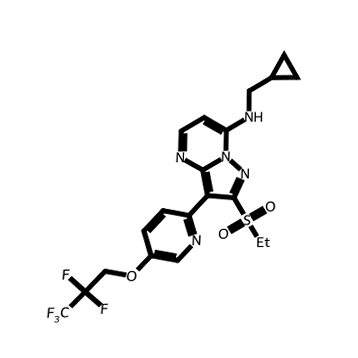 CCS(=O)(=O)c1nn2c(NCC3CC3)ccnc2c1-c1ccc(OCC(F)(F)C(F)(F)F)cn1